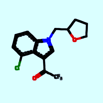 O=C(c1cn(CC2CCCO2)c2cccc(Cl)c12)C(F)(F)F